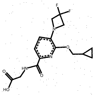 O=C(O)CNC(=O)c1ccc(N2CC(F)(F)C2)c(OCC2CC2)n1